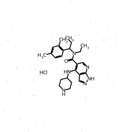 CCC(c1ccc(C)cc1C)N(CC)C(=O)c1cnc2[nH]ncc2c1NC1CCNCC1.Cl